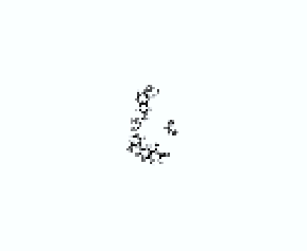 Cc1ncc2c(c1F)CC(CNCC[C@H]1CN(c3cnc4c(n3)NC(=O)CO4)C(=O)O1)C2.O=CO